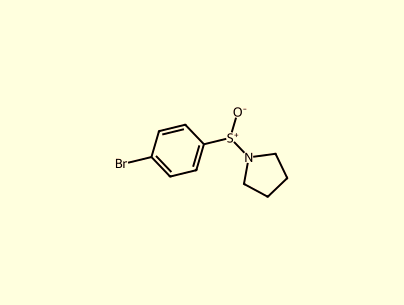 [O-][S+](c1ccc(Br)cc1)N1CCCC1